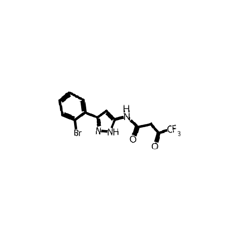 O=C(CC(=O)C(F)(F)F)Nc1cc(-c2ccccc2Br)n[nH]1